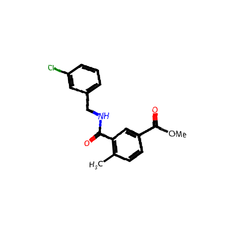 COC(=O)c1ccc(C)c(C(=O)NCc2cccc(Cl)c2)c1